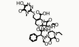 CCN1CCN(N(C=O)C(C(=O)N[C@]2(NC=O)C(=O)N3C(C(=O)O)=C(CSc4nnc(O)c(=O)n4C)CS[C@H]32)c2ccccc2)C(=O)C1=O